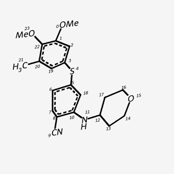 COc1cc(Sc2ccc(C#N)c(NC3CCOCC3)c2)cc(C)c1OC